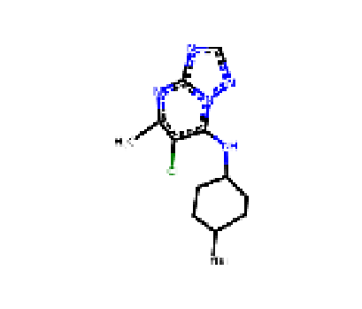 Cc1nc2ncnn2c(NC2CCC(C(C)(C)C)CC2)c1Cl